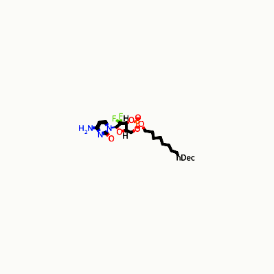 CCCCCCCCCCCCCCCCCCOP1(=O)OC[C@H]2O[C@@H](n3ccc(N)nc3=O)C(F)(F)[C@@H]2O1